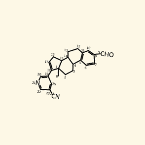 CC12CCC3c4ccc(C=O)cc4CCC3C1CC=C2c1cncc(C#N)c1